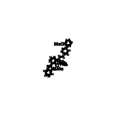 COc1ccccc1N1CCN(CCN(C)c2ccnc(-c3nc4ccccc4n3SC)c2Cl)CC1.Cl.Cl.Cl